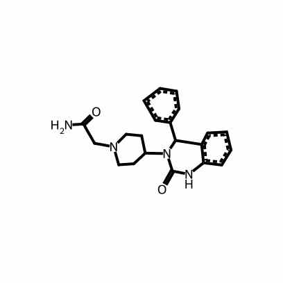 NC(=O)CN1CCC(N2C(=O)Nc3ccccc3C2c2ccccc2)CC1